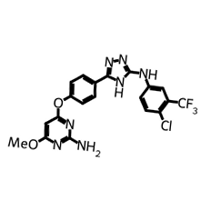 COc1cc(Oc2ccc(-c3nnc(Nc4ccc(Cl)c(C(F)(F)F)c4)[nH]3)cc2)nc(N)n1